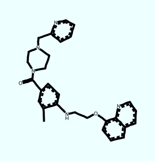 Cc1cc(C(=O)N2CCN(Cc3ccccn3)CC2)ccc1NCCOc1cccc2cccnc12